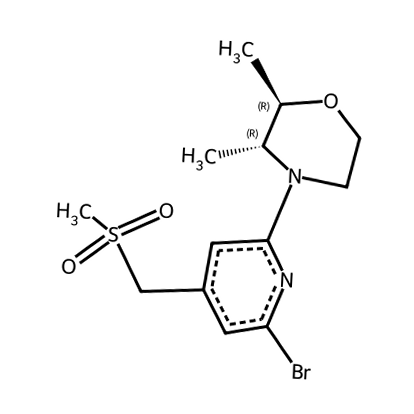 C[C@@H]1[C@@H](C)OCCN1c1cc(CS(C)(=O)=O)cc(Br)n1